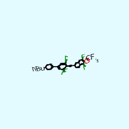 CCCCC1CCC(c2cc(F)c(C#Cc3ccc4c(F)c(OC(F)(F)F)c(F)cc4c3)c(F)c2)CC1